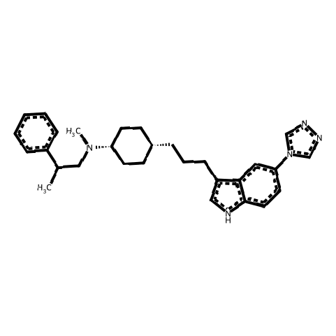 CC(CN(C)[C@H]1CC[C@@H](CCCc2c[nH]c3ccc(-n4cnnc4)cc23)CC1)c1ccccc1